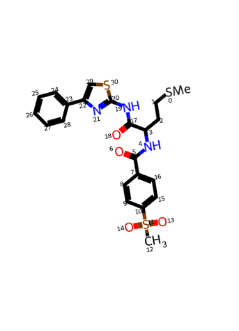 CSCCC(NC(=O)c1ccc(S(C)(=O)=O)cc1)C(=O)Nc1nc(-c2ccccc2)cs1